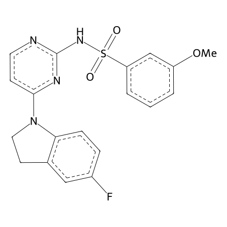 COc1cccc(S(=O)(=O)Nc2nccc(N3CCc4cc(F)ccc43)n2)c1